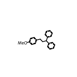 COc1ccc(CCC(c2ccccc2)c2ccccc2)cc1